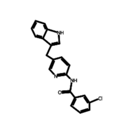 O=C(Nc1ccc(Cc2c[nH]c3ccccc23)cn1)c1cccc(Cl)c1